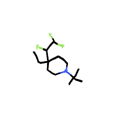 CCC1(C(F)C(F)F)CCN(C(C)(C)C)CC1